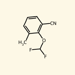 Cc1cccc(C#N)c1OC(F)F